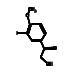 COc1ccc(C(=O)CO)cc1I